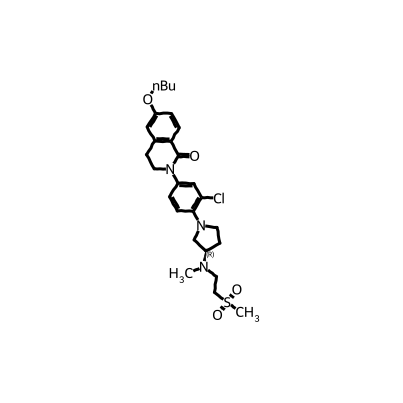 CCCCOc1ccc2c(c1)CCN(c1ccc(N3CC[C@@H](N(C)CCS(C)(=O)=O)C3)c(Cl)c1)C2=O